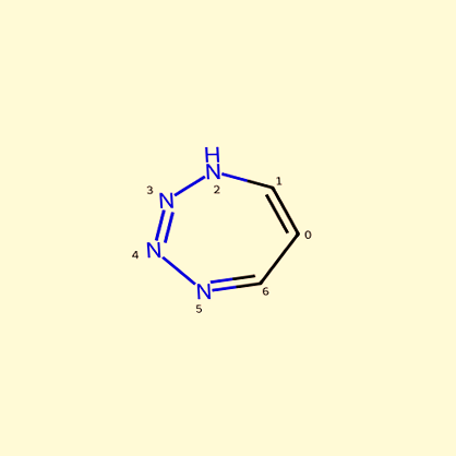 C1=CNN=NN=C1